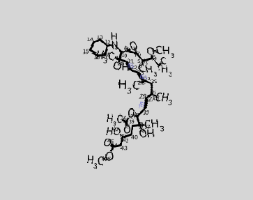 CC[C@H](OC)[C@@H](C)[C@H]1O[C@@H]1C(NC1CCCCC1)C(C)(O)/C=C/C=C(\C)C[C@@H](C)/C=C/[C@H](OC(C)=O)[C@](C)(O)CC[C@@H](O)CC(=O)OC